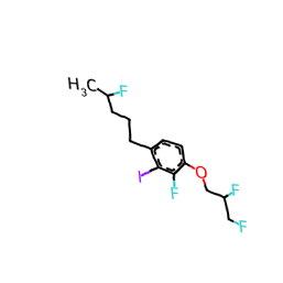 CC(F)CCCc1ccc(OCC(F)CF)c(F)c1I